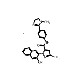 Cc1cc(C(=O)Nc2ccc(C3=NCCN3C)cc2)n(-c2cc3ccccc3cc2C#N)n1